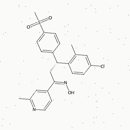 Cc1cc(/C(C[C@H](c2ccc(S(C)(=O)=O)cc2)c2ccc(Cl)cc2C)=N\O)ccn1